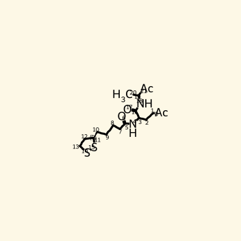 CC(=O)CCC(NC(=O)CCCC[C@@H]1CCSS1)C(=O)NC(C)C(C)=O